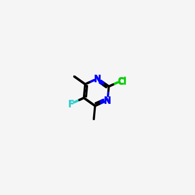 Cc1nc(Cl)nc(C)c1F